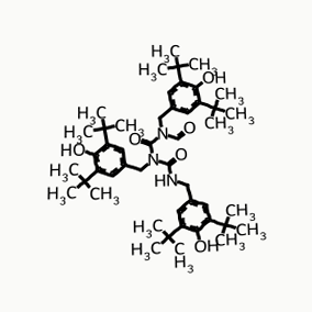 CC(C)(C)c1cc(CNC(=O)N(Cc2cc(C(C)(C)C)c(O)c(C(C)(C)C)c2)C(=O)N(C=O)Cc2cc(C(C)(C)C)c(O)c(C(C)(C)C)c2)cc(C(C)(C)C)c1O